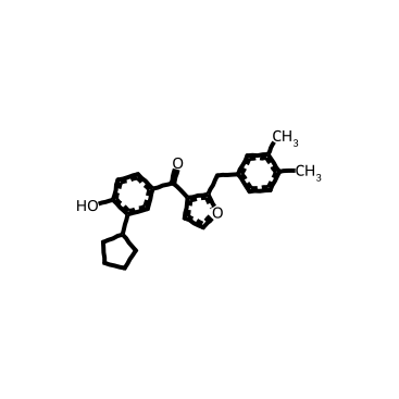 Cc1ccc(Cc2occc2C(=O)c2ccc(O)c(C3CCCC3)c2)cc1C